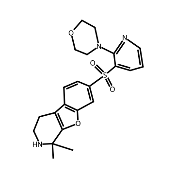 CC1(C)NCCc2c1oc1cc(S(=O)(=O)c3cccnc3N3CCOCC3)ccc21